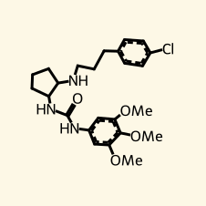 COc1cc(NC(=O)NC2CCCC2NCCCc2ccc(Cl)cc2)cc(OC)c1OC